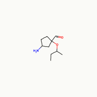 CCC(C)OC1(C=O)CCC(N)C1